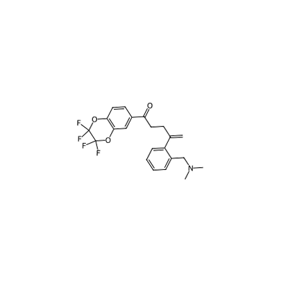 C=C(CCC(=O)c1ccc2c(c1)OC(F)(F)C(F)(F)O2)c1ccccc1CN(C)C